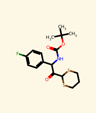 CC(C)(C)OC(=O)NC(C(=O)C1SCCCS1)c1ccc(F)cc1